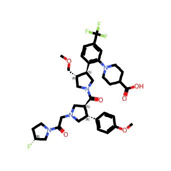 COC[C@H]1CN(C(=O)[C@@H]2CN(CC(=O)N3CC[C@@H](F)C3)C[C@H]2c2ccc(OC)cc2)C[C@@H]1c1ccc(C(F)(F)F)cc1N1CCC(C(=O)O)CC1